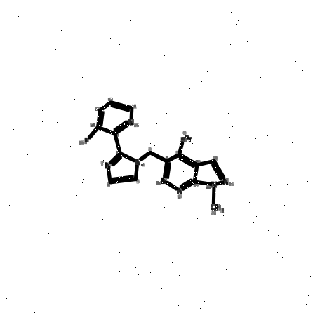 CCCc1c(Cn2ccnc2-c2ncccc2F)nnc2c1cnn2C